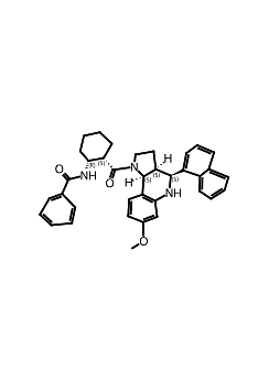 COc1ccc2c(c1)N[C@H](c1cccc3ccccc13)[C@@H]1CCN(C(=O)[C@H]3CCCC[C@H]3NC(=O)c3ccccc3)[C@H]21